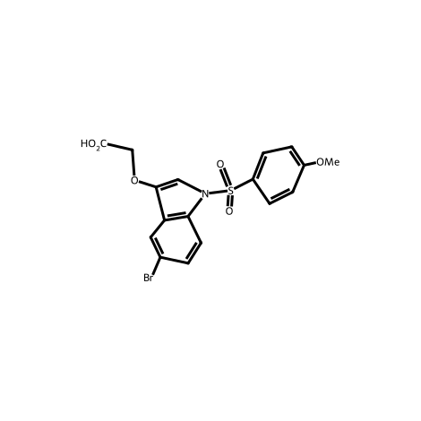 COc1ccc(S(=O)(=O)n2cc(OCC(=O)O)c3cc(Br)ccc32)cc1